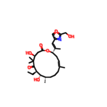 CC[C@H]1C(=O)C(C)(C)[C@@H](O)CC(=O)O[C@H](C(C)=Cc2coc(CO)n2)C/C=C(/C)CCC[C@H](C)[C@@H]1O